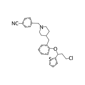 N#Cc1ccc(CN2CCC(Cc3ccccc3OC(CCCl)c3cccs3)CC2)cc1